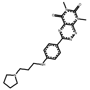 Cn1c(=O)c2nc(-c3ccc(NCCCN4CCCC4)cc3)nnc2n(C)c1=O